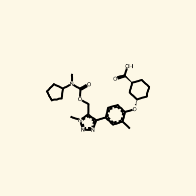 Cc1cc(-c2nnn(C)c2COC(=O)N(C)C2CCCC2)ccc1O[C@H]1CCC[C@H](C(=O)O)C1